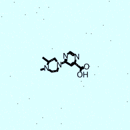 CC1CN(c2cc(C(=O)O)ncn2)CCN1C